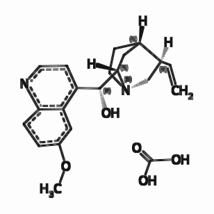 C=C[C@H]1C[N@]2CC[C@H]1C[C@H]2[C@H](O)c1ccnc2ccc(OC)cc12.O=C(O)O